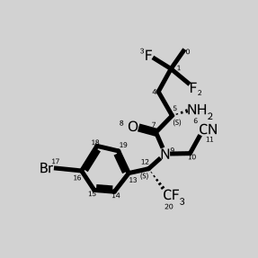 CC(F)(F)C[C@H](N)C(=O)N(CC#N)[C@@H](c1ccc(Br)cc1)C(F)(F)F